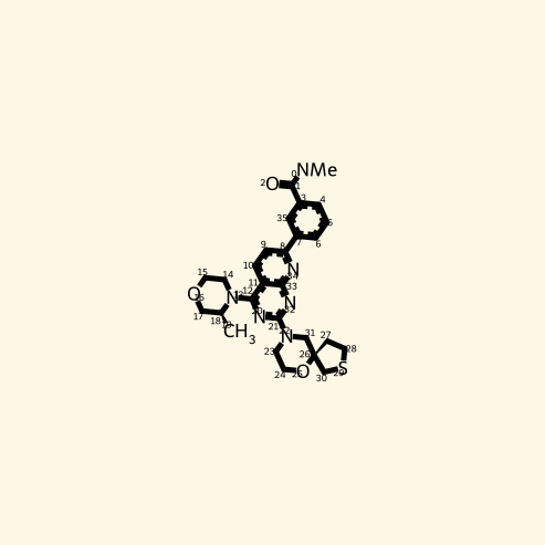 CNC(=O)c1cccc(-c2ccc3c(N4CCOC[C@@H]4C)nc(N4CCO[C@]5(CCSC5)C4)nc3n2)c1